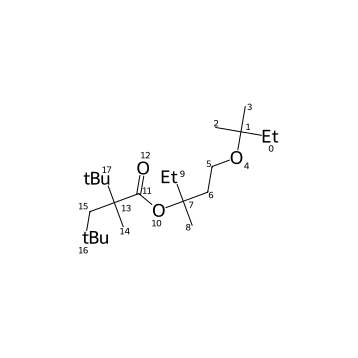 CCC(C)(C)OCCC(C)(CC)OC(=O)C(C)(CC(C)(C)C)C(C)(C)C